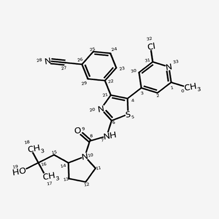 Cc1cc(-c2sc(NC(=O)N3CCCC3CC(C)(C)O)nc2-c2cccc(C#N)c2)cc(Cl)n1